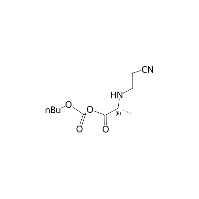 CCCCOC(=O)OC(=O)[C@@H](C)NCCC#N